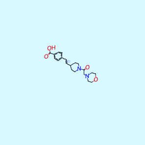 O=C(O)c1ccc(/C=C/C2CCN(C(=O)CN3CCOCC3)CC2)cc1